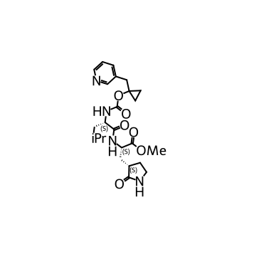 COC(=O)[C@H](C[C@@H]1CCNC1=O)NC(=O)[C@H](CC(C)C)NC(=O)OC1(Cc2cccnc2)CC1